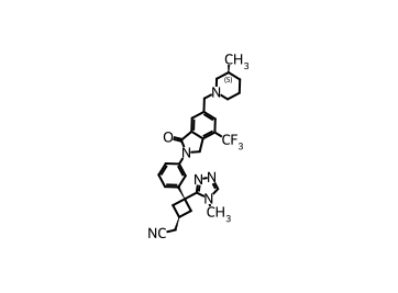 C[C@H]1CCCN(Cc2cc3c(c(C(F)(F)F)c2)CN(c2cccc([C@]4(c5nncn5C)C[C@H](CC#N)C4)c2)C3=O)C1